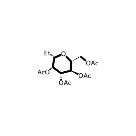 [CH2]C[C@@H]1O[C@H](COC(C)=O)[C@@H](OC(C)=O)[C@H](OC(C)=O)[C@@H]1OC(C)=O